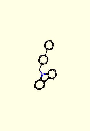 c1ccc(-c2ccc(Cn3c4ccccc4c4ccccc43)cc2)cc1